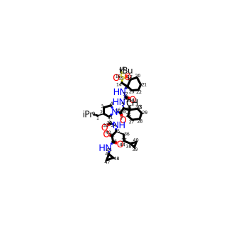 CC(C)C[C@H]1CCN(C(=O)[C@@H](NC(=O)NC2(CS(=O)(=O)C(C)(C)C)CCCCC2)C2(C)CCCCC2)[C@@H]1C(=O)N[C@@H](CCC1CC1)C(=O)C(=O)NC1CC1